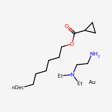 CCCCCCCCCCCCCCCCOC(=O)C1CC1.CCN(CC)CCN.[Au]